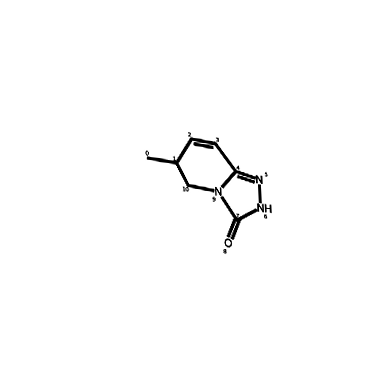 CC1C=Cc2n[nH]c(=O)n2C1